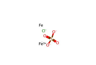 O=S(=O)([O-])[O-].[Cl-].[Fe+3].[Fe]